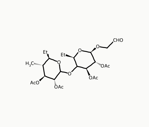 CC[C@H]1O[C@@H](OCC=O)[C@H](OC(C)=O)[C@@H](OC(C)=O)C1OC1O[C@H](CC)[C@@H](C)[C@H](OC(C)=O)[C@H]1OC(C)=O